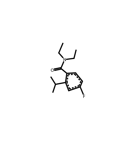 CCN(CC)C(=O)c1ccc(F)cc1C(C)C